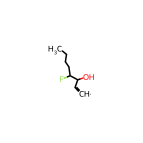 [CH]=CC(O)C(F)CCCC